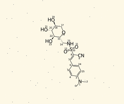 CN(C)c1ccc(/C=C(\C#N)S(=O)(=O)NC[C@H]2OC[C@H](O)[C@@H](O)[C@@H]2O)cc1